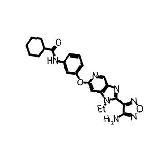 CCn1c(-c2nonc2N)nc2cnc(Oc3cccc(NC(=O)C4CCCCC4)c3)cc21